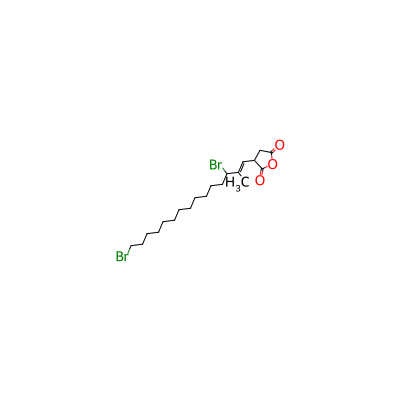 CC(=CC1CC(=O)OC1=O)C(Br)CCCCCCCCCCCCBr